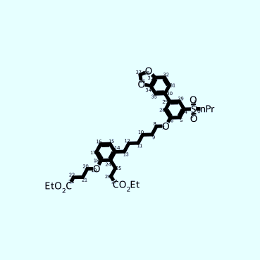 CCCS(=O)(=O)c1cc(OCCCCCCc2cccc(OCCCC(=O)OCC)c2CCC(=O)OCC)cc(-c2ccc3c(c2)OCO3)c1